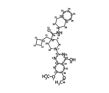 COc1cc2nc(N3CCC(CC4CCC4)(C(=O)NC4CCc5ccccc5C4)CC3)nc(O)c2cc1OC